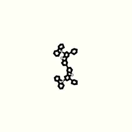 c1ccc(-c2cc(-n3c4ccccc4c4ccccc43)c3oc4ccc(-c5ccc6oc7c(-c8ccccc8)cc(-n8c9ccccc9c9ccccc98)cc7c6c5)cc4c3c2)cc1